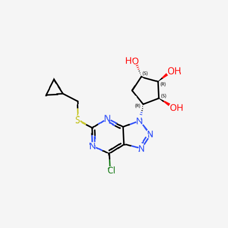 O[C@@H]1[C@H](O)[C@@H](O)C[C@H]1n1nnc2c(Cl)nc(SCC3CC3)nc21